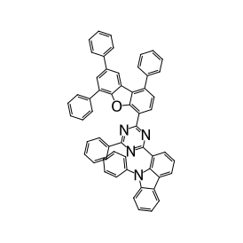 c1ccc(-c2cc(-c3ccccc3)c3oc4c(-c5nc(-c6ccccc6)nc(-c6cccc7c8ccccc8n(-c8ccccc8)c67)n5)ccc(-c5ccccc5)c4c3c2)cc1